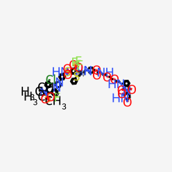 Cc1c(S(C)(=O)=O)c(-c2cc(F)cc(N3CCN(c4ccc(NS(=O)(=O)c5ccc(N[C@H](CCN6CCC(OC(=O)NCCOCCOCCNc7cccc8c7C(=O)N(C7CCC(=O)NC7=O)C8=O)CC6)CSc6ccccc6)c(S(=O)(=O)C(F)(F)F)c5)cc4)CC3)c2)c(-c2ccc(Cl)cc2)n1C(C)C